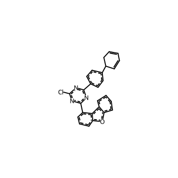 Clc1nc(-c2ccc(C3C=CC=CC3)cc2)nc(-c2cccc3oc4ccccc4c23)n1